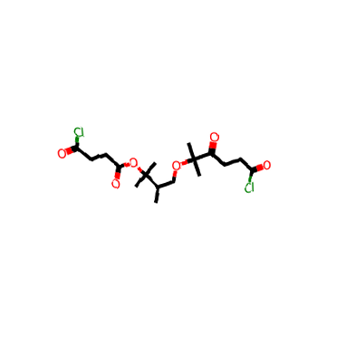 CC(COC(C)(C)C(=O)CCC(=O)Cl)C(C)(C)OC(=O)CCC(=O)Cl